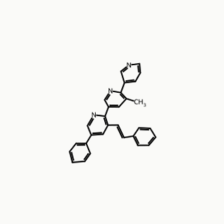 Cc1cc(-c2ncc(-c3ccccc3)cc2/C=C/c2ccccc2)cnc1-c1cccnc1